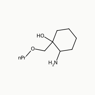 CCCOCC1(O)CCCCC1N